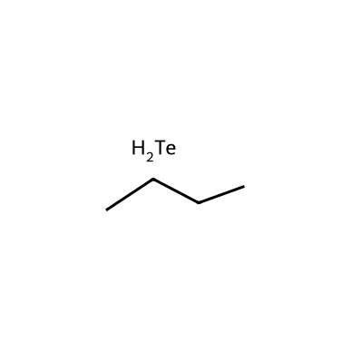 CCCC.[TeH2]